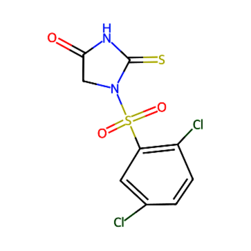 O=C1CN(S(=O)(=O)c2cc(Cl)ccc2Cl)C(=S)N1